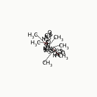 [C-]#[N+]/C(C#N)=C1/C(=C/c2sc3c(sc4c5c6nsnc6c6c7sc8c(CCCCCCCCCCC)c(/C=C9\C(=O)c%10ccc(-c%11ccc(C=O)s%11)cc%10\C9=C(\C#N)[N+]#[C-])sc8c7n(CC(CCCCCCCC)CCCCCCCCCC)c6c5n(CC(CCCCCCCC)CCCCCCCCCC)c34)c2CCCCCCCCCCC)C(=O)c2ccc(-c3ccc(C=O)s3)cc21